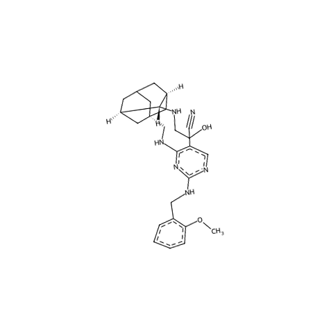 COc1ccccc1CNc1ncc(C#N)c(NC[C@@]23CC4C[C@H](C2)[C@@H](NCCO)[C@@H](C4)C3)n1